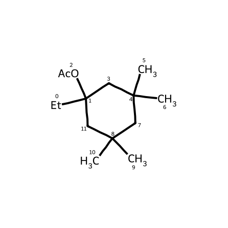 CCC1(OC(C)=O)CC(C)(C)CC(C)(C)C1